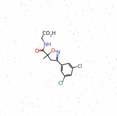 CC1(C(=O)NCC(=O)O)CC(c2cc(Cl)cc(Cl)c2)=NO1